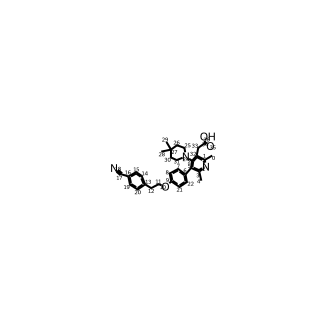 Cc1nc(C)c(-c2ccc(OCCc3ccc(C#N)cc3)cc2)c(N2CCC(C)(C)CC2)c1CC(=O)O